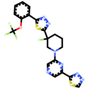 FC(F)(F)Oc1ccccc1-c1nnc(C2(F)CCCN(c3cncc(-c4nncs4)n3)C2)s1